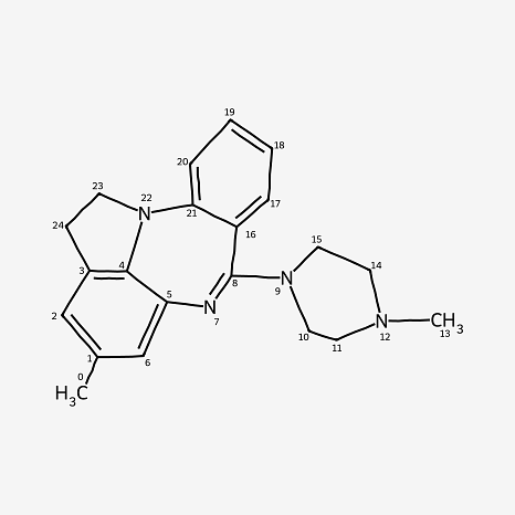 Cc1cc2c3c(c1)N=C(N1CCN(C)CC1)c1ccccc1N3CC2